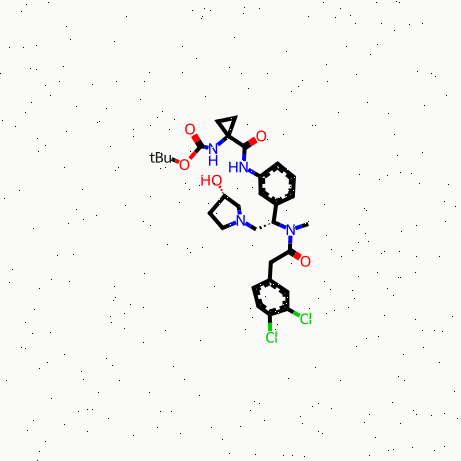 CN(C(=O)Cc1ccc(Cl)c(Cl)c1)[C@H](CN1CC[C@H](O)C1)c1cccc(NC(=O)C2(NC(=O)OC(C)(C)C)CC2)c1